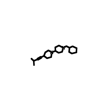 CC(C)C#CC1CCN(C2CCN(CC3CCCCC3)CC2)CC1